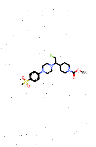 CC(C)(C)OC(=O)N1CCC(C(CF)N2CCN(c3ccc(S(C)(=O)=O)cc3)CC2)CC1